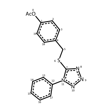 CC(=O)Oc1ccc(CSc2nnnn2-c2ccccc2)cc1